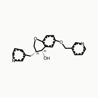 O[C@H]1c2cc(OCc3cccnc3)ccc2OC[C@H]1Cc1cccnc1